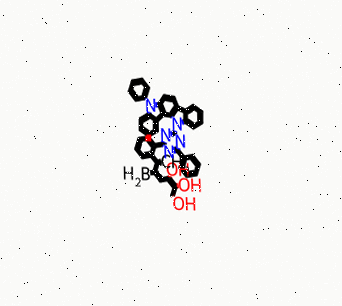 B/C(=C/C(O)=C(/O)CO)C(=C)c1ccccc1-c1nc(-c2ccccc2)nc(-n2c3ccccc3c3ccc4c(c5ccccc5n4-c4ccccc4)c32)n1